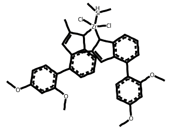 COc1ccc(-c2cccc3c2C=C(C)[CH]3[Zr]([Cl])([Cl])([CH]2C(C)=Cc3c(-c4ccc(OC)cc4OC)cccc32)[SiH](C)C)c(OC)c1